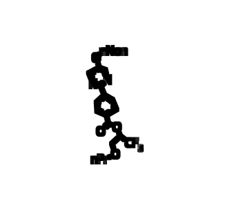 CCCCCCCCCOc1cnc(-c2ccc(C(=O)OC(COCCC)C(F)(F)F)cc2)nc1